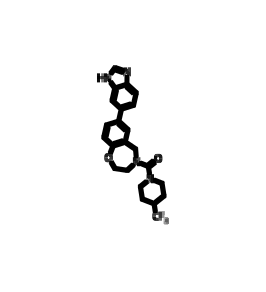 O=C(N1CCC(C(F)(F)F)CC1)N1CCOc2ccc(-c3ccc4nc[nH]c4c3)cc2C1